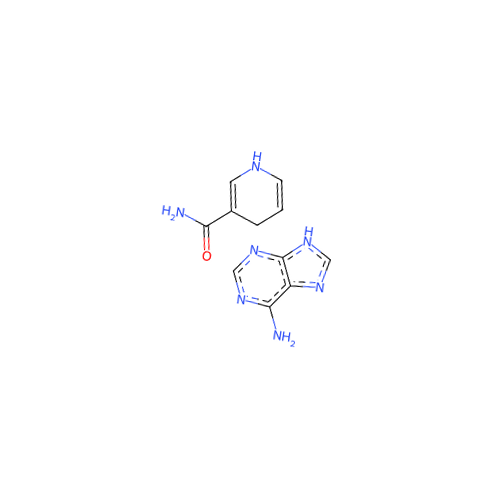 NC(=O)C1=CNC=CC1.Nc1ncnc2[nH]cnc12